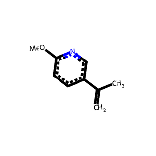 C=C(C)c1ccc(OC)nc1